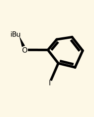 CC[C@H](C)Oc1ccccc1I